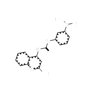 Cc1cc(NC(=O)Nc2cccc(N(C)C)c2)c2ccccc2n1